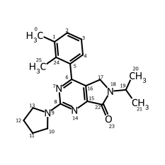 Cc1cccc(-c2nc(N3CCCC3)nc3c2CN(C(C)C)C3=O)c1C